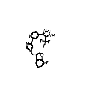 Fc1cccc2c1OC[C@H]2Cn1cnc(-c2cc(-c3nn[nH]c3C(F)(F)F)ccn2)c1